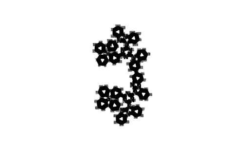 c1ccc([Si](c2ccccc2)(c2ccccc2)c2cccc(-c3nc(-n4c5ccccc5c5cc(-c6ccc7c(c6)nc6n(-c8nc(-c9cccc([Si](c%10ccccc%10)(c%10ccccc%10)c%10ccccc%10)c9)nc(-n9c%10ccccc%10n%10c%11ccccc%11nc9%10)n8)c8ccccc8n76)ccc54)nc(-n4c5ccccc5n5c6ccccc6nc45)n3)c2)cc1